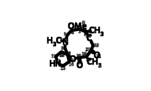 CO[C@]1(C)CCCN(C)CC2(CCNCC2)OC(=O)C(C)C(=O)CC1